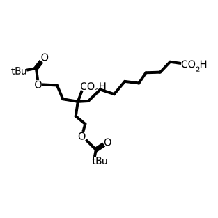 CC(C)(C)C(=O)OCCC(CCCCCCCCC(=O)O)(CCOC(=O)C(C)(C)C)C(=O)O